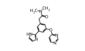 CN(C)C(=O)Cc1cc(Oc2ccncn2)cc(-c2ncc[nH]2)c1